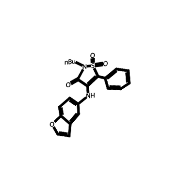 CCCCN1C(=O)C(Nc2ccc3occc3c2)=C(c2ccccc2)S1(=O)=O